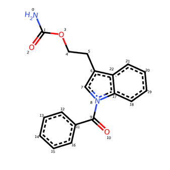 NC(=O)OCCc1cn(C(=O)c2ccccc2)c2ccccc12